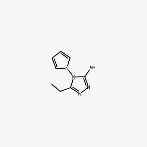 CCc1nnc(S)n1-n1cccc1